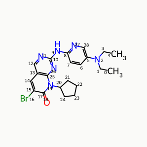 CCN(CC)c1ccc(Nc2ncc3cc(Br)c(=O)n(C4CCCC4)c3n2)nc1